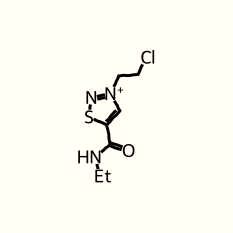 CCNC(=O)c1c[n+](CCCl)ns1